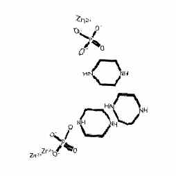 C1CNCCN1.C1CNCCN1.C1CNCCN1.O=P([O-])([O-])[O-].O=P([O-])([O-])[O-].[Zn+2].[Zn+2].[Zn+2]